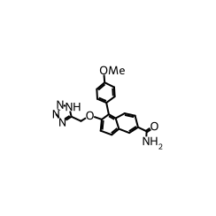 COc1ccc(-c2c(OCc3nnn[nH]3)ccc3cc(C(N)=O)ccc23)cc1